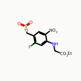 CCOC(=O)CNc1cc(F)c(C[SH](=O)=O)cc1[N+](=O)[O-]